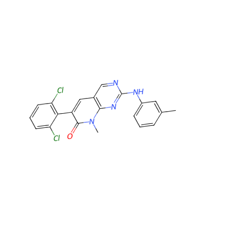 Cc1cccc(Nc2ncc3cc(-c4c(Cl)cccc4Cl)c(=O)n(C)c3n2)c1